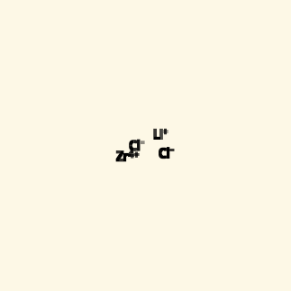 [Cl-].[Cl-].[Li+].[Zr+4]